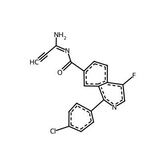 C#C/C(N)=N\C(=O)c1ccc2c(F)cnc(-c3ccc(Cl)cc3)c2c1